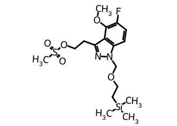 COc1c(F)ccc2c1c(CCOS(C)(=O)=O)nn2COCC[Si](C)(C)C